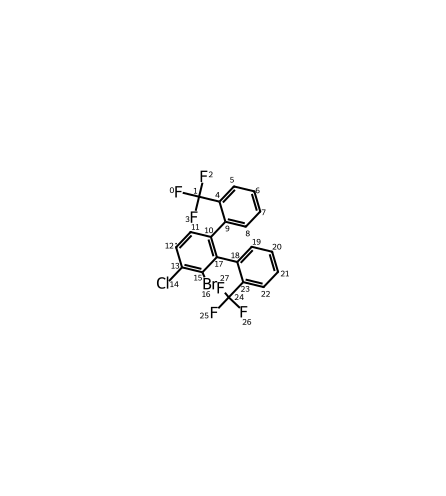 FC(F)(F)c1ccccc1-c1c[c]c(Cl)c(Br)c1-c1ccccc1C(F)(F)F